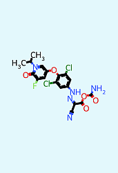 CC(C)n1cc(Oc2c(Cl)cc(NN=C(C#N)C(=O)OC(N)=O)cc2Cl)cc(F)c1=O